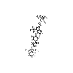 CC(C)(CNC(=O)Nc1cc(F)c(Oc2ccnc3c2c(C(F)(F)F)cn3COCC[Si](C)(C)C)c(F)c1)N1CCOCC1